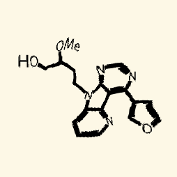 COC(CO)CCn1c2cccnc2c2c(-c3ccoc3)ncnc21